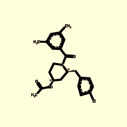 CC(=O)N[C@H]1CCN(C(=O)c2cc(C)cc(C)c2)[C@H](Cc2ccc(Cl)cc2)C1